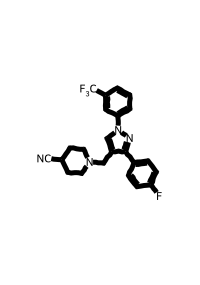 N#CC1CCN(Cc2cn(-c3cccc(C(F)(F)F)c3)nc2-c2ccc(F)cc2)CC1